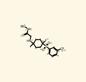 CC(C)(C)NC(=O)CNC1(C)CCC(F)(S(=O)(=O)c2cccc(C(F)(F)F)c2)CC1